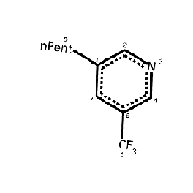 CCCCCc1cncc(C(F)(F)F)c1